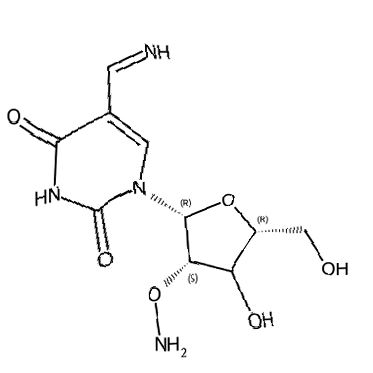 N=Cc1cn([C@@H]2O[C@H](CO)C(O)[C@@H]2ON)c(=O)[nH]c1=O